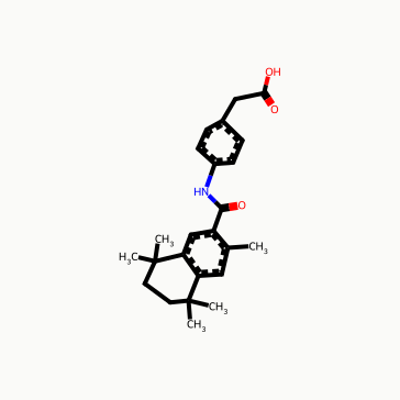 Cc1cc2c(cc1C(=O)Nc1ccc(CC(=O)O)cc1)C(C)(C)CCC2(C)C